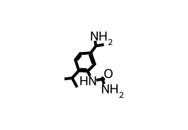 CC(C)c1ccc(C(C)N)cc1NC(N)=O